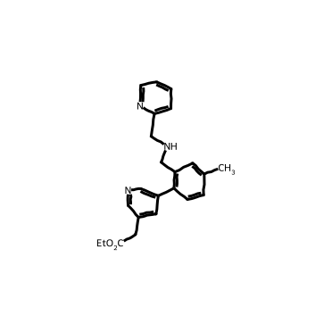 CCOC(=O)Cc1cncc(-c2ccc(C)cc2CNCc2ccccn2)c1